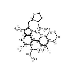 COC[C@H]1CCCN1Cc1cc2c(-c3cc(F)c4c(c3C)CCCO4)c([C@H](OC(C)(C)C)C(=O)O)c(C)nc2n1C